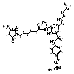 CC(C)[C@H](NC(=O)CCCCCN1C(=O)CC(P)C1=O)C(=O)NC(CCCNCOCN)C(=O)Nc1ccc(COC(=O)C(C)(C)C)cc1